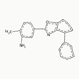 Cc1ccc(-c2nc3c(-c4ccccc4)cccc3o2)cc1N